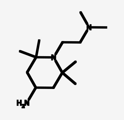 CN(C)CCN1C(C)(C)CC(N)CC1(C)C